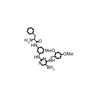 Bc1cnc(Nc2cccc(NC(=O)C(N)Cc3ccccc3)c2)nc1NCc1ccc(OC)cc1OC